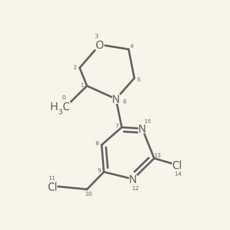 CC1COCCN1c1cc(CCl)nc(Cl)n1